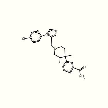 CC1CN(Cc2cccn2-c2ccc(Cl)cn2)CCC1(C)c1cccc(C(N)=O)c1